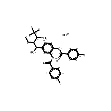 CCC(C(O)c1ccc(OC(=O)c2ccc(C)cc2)c(OC(=O)c2ccc(C)cc2)c1)C(N)C(C)(C)C.Cl